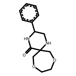 O=C1NC(c2ccccc2)CNC12COCCOC2